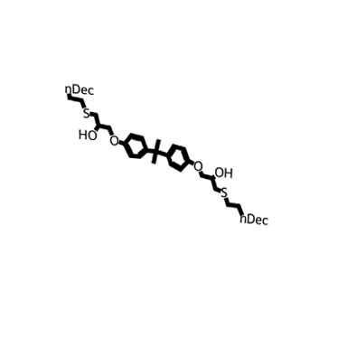 CCCCCCCCCCCCSCC(O)COc1ccc(C(C)(C)c2ccc(OCC(O)CSCCCCCCCCCCCC)cc2)cc1